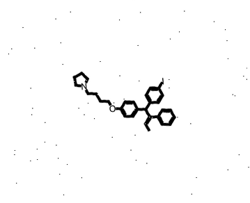 C/C=C(\c1ccccc1)C(c1ccc(I)cc1)c1ccc(OCCCCN2CCCC2)cc1